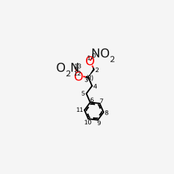 O=[N+]([O-])OC[C@@H](CCc1ccccc1)O[N+](=O)[O-]